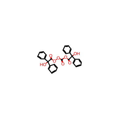 O=C(OOC(=O)C(O)(c1ccccc1)c1ccccc1)OC(=O)C(O)(c1ccccc1)c1ccccc1